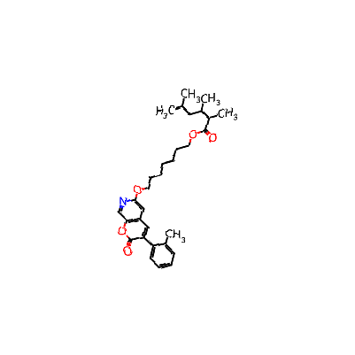 Cc1ccccc1-c1cc2cc(OCCCCCCCOC(=O)C(C)C(C)CC(C)C)ncc2oc1=O